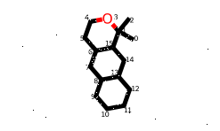 CC1(C)OCCC2CC3CCCCC3CC21